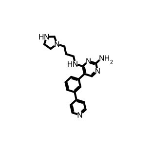 Nc1ncc(-c2cccc(-c3ccncc3)c2)c(NCCCN2CCNC2)n1